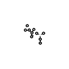 c1ccc(-c2ccc(-c3nc(-c4ccccc4)nc(-c4ccc(-n5c6ccccc6c6c(-c7ccc8c(c7)c7ccccc7n8-c7ccccc7)cc7c8ccccc8oc7c65)cc4)n3)cc2)cc1